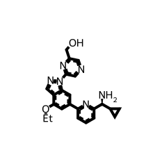 CCOc1cc(-c2cccc([C@@H](N)C3CC3)n2)cc2c1cnn2-c1cncc(CO)n1